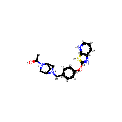 CC(=O)N1CC2CC1CN2Cc1ccc(Oc2nc3cccnc3s2)cc1